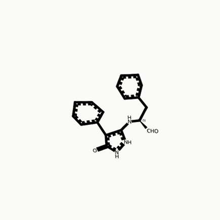 O=C[C@H](Cc1ccccc1)Nc1[nH][nH]c(=O)c1-c1ccccc1